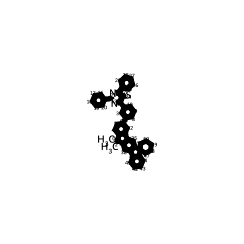 CC1(C)c2ccc(-c3cccc(-c4nc(-c5ccccc5)nc5c4sc4ccccc45)c3)cc2-c2cc3c(cc21)-c1ccccc1C31CCCCC1